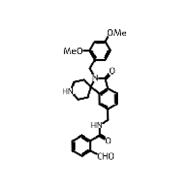 COc1ccc(CN2C(=O)c3ccc(CNC(=O)c4ccccc4C=O)cc3C23CCNCC3)c(OC)c1